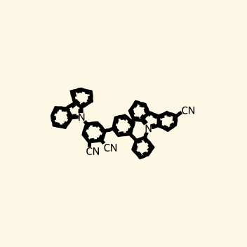 N#Cc1ccc2c(c1)c1ccccc1n2-c1ccccc1-c1cccc(-c2cc(-n3c4ccccc4c4ccccc43)cc(C#N)c2C#N)c1